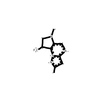 Cc1cc2ncc3c(n2n1)C(C(F)(F)F)CN3C